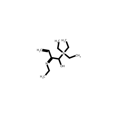 C=CC(=NCC)C(O)[Si](CC)(CC)CC